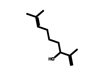 C=C(C)C(O)CCCC=C(C)C